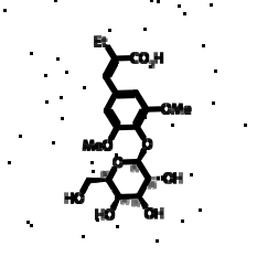 CCC(=Cc1cc(OC)c(O[C@@H]2O[C@H](CO)[C@H](O)[C@H](O)[C@H]2O)c(OC)c1)C(=O)O